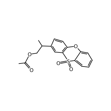 CC(=O)OCC(C)c1ccc2c(c1)S(=O)(=O)c1ccccc1O2